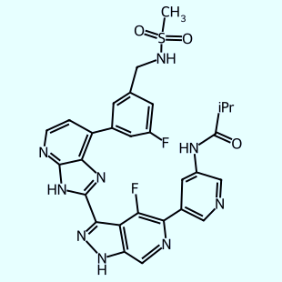 CC(C)C(=O)Nc1cncc(-c2ncc3[nH]nc(-c4nc5c(-c6cc(F)cc(CNS(C)(=O)=O)c6)ccnc5[nH]4)c3c2F)c1